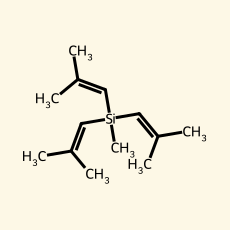 CC(C)=C[Si](C)(C=C(C)C)C=C(C)C